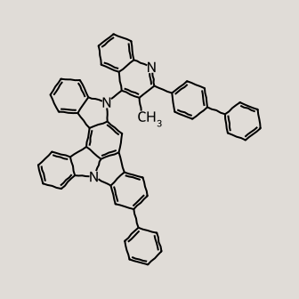 Cc1c(-c2ccc(-c3ccccc3)cc2)nc2ccccc2c1-n1c2ccccc2c2c3c4ccccc4n4c5cc(-c6ccccc6)ccc5c(cc21)c34